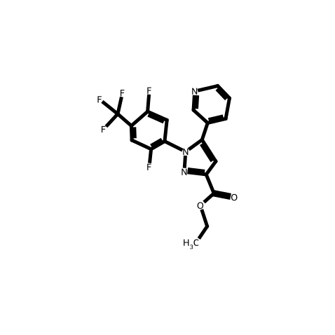 CCOC(=O)c1cc(-c2cccnc2)n(-c2cc(F)c(C(F)(F)F)cc2F)n1